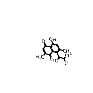 CC1=CC(=O)c2c(O)cc(C)c(C(=O)C(Cl)Cl)c2C1=O